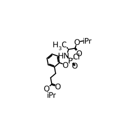 CC(C)OC(=O)CCc1ccccc1OP(=O)(Cl)N[C@@H](C)C(=O)OC(C)C